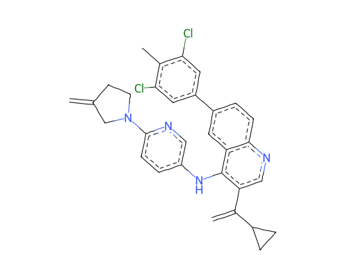 C=C1CCN(c2ccc(Nc3c(C(=C)C4CC4)cnc4ccc(-c5cc(Cl)c(C)c(Cl)c5)cc34)cn2)C1